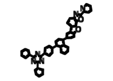 c1ccc(-c2nc(-c3ccccc3)nc(-c3ccc(-c4ccc(-c5ccc6oc7c(ccc8nc(-c9ccccn9)oc87)c6c5)c5ccccc45)cc3)n2)cc1